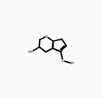 CC(C)OC1=CCC2OCC(N=O)CC12